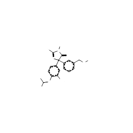 COCc1cccc(C2(c3ccc(OC(F)I)c(C)c3)N=C(N)N(C)C2=O)c1